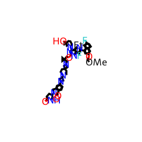 CCc1c(F)ccc2cc(OCOC)cc(-c3ncc4c(N5CCC[C@@](C)(O)C5)nc(OCC5(CN6CC7(CCN(C8CN(c9ccc%10c(c9)CN(C9CCC(=O)NC9=O)C%10=O)C8)CC7)C6)CC5)nc4c3F)c12